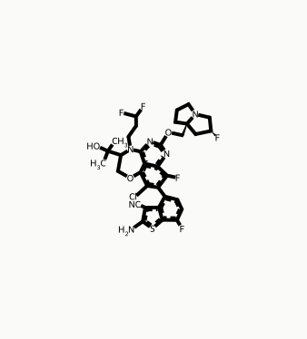 CC(C)(O)C1COc2c(Cl)c(-c3ccc(F)c4sc(N)c(C#N)c34)c(F)c3nc(OC[C@@]45CCCN4C[C@H](F)C5)nc(c23)N1CCC(F)F